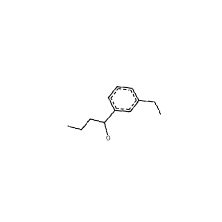 CCCC([O])c1cccc(CC)c1